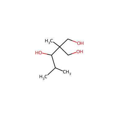 CC(C)C(O)C(C)(CO)CO